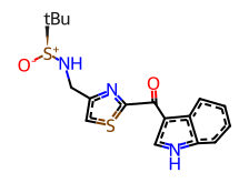 CC(C)(C)[S@+]([O-])NCc1csc(C(=O)c2c[nH]c3ccccc23)n1